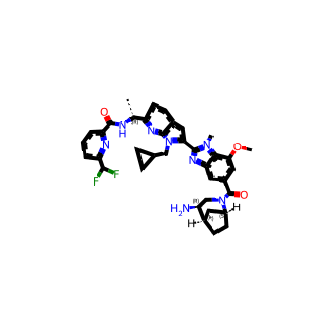 COc1cc(C(=O)N2C[C@H](N)[C@@H]3CC[C@H]2C3)cc2nc(-c3cc4ccc([C@@H](C)NC(=O)c5cccc(C(F)F)n5)nc4n3CC3CC3)n(C)c12